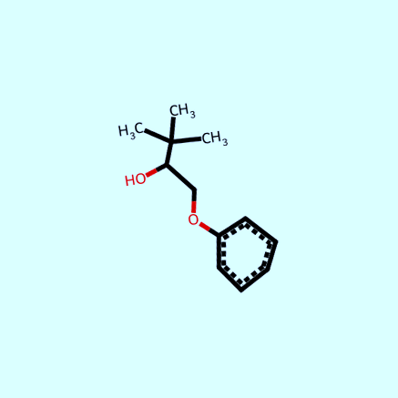 CC(C)(C)C(O)COc1ccccc1